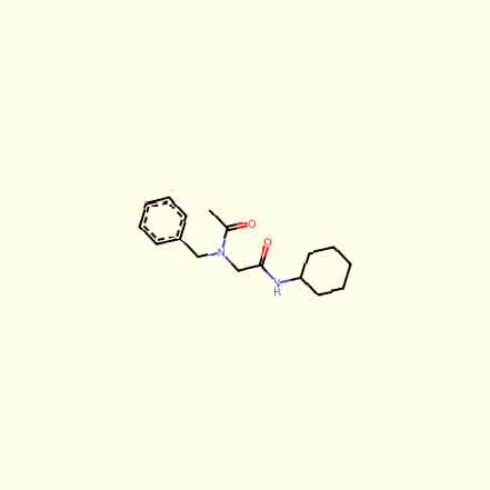 CC(=O)N(CC(=O)NC1CCCCC1)Cc1ccccc1